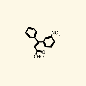 O=CC(=O)C=C(c1ccccc1)c1cccc([N+](=O)[O-])c1